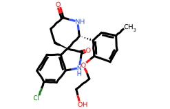 Cc1ccc(OCCO)c([C@H]2NC(=O)CC[C@]23C(=O)Nc2cc(Cl)ccc23)c1